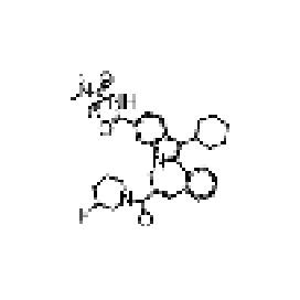 CN(C)S(=O)(=O)NC(=O)c1ccc2c(C3CCCCC3)c3n(c2c1)CC(C(=O)N1CCCC(F)C1)=Cc1ccccc1-3